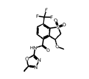 COC1CS(=O)(=O)c2c(C(F)(F)F)ccc(C(=O)Nc3nnc(C)o3)c21